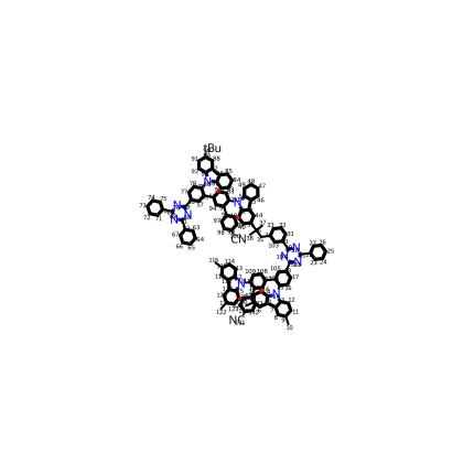 Cc1ccc2c(c1)c1cc(C)ccc1n2-c1ccc(-c2nc(-c3ccccc3)nc(-c3cccc(CC(C)(C)c4ccc5c(c4)c4ccccc4n5-c4ccc(-c5cc(-c6nc(-c7ccccc7)nc(-c7ccccc7)n6)ccc5-n5c6ccccc6c6cc(C(C)(C)C)ccc65)cc4-c4ccc(C#N)cc4)c3)n2)cc1-c1ccc(-n2c3ccc(C)cc3c3cc(C)ccc32)c(-c2ccc(C#N)cc2)c1